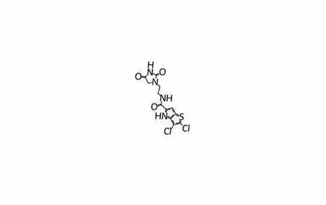 O=C1CN(CCNC(=O)c2cc3sc(Cl)c(Cl)c3[nH]2)C(=O)N1